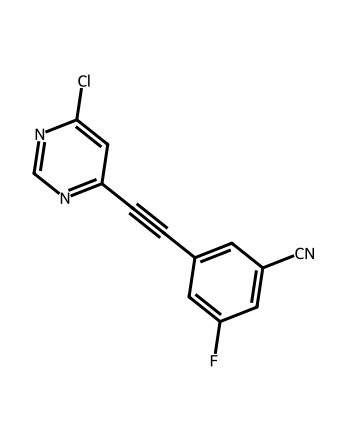 N#Cc1cc(F)cc(C#Cc2cc(Cl)ncn2)c1